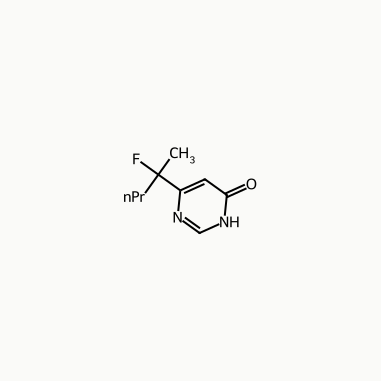 CCCC(C)(F)c1cc(=O)[nH]cn1